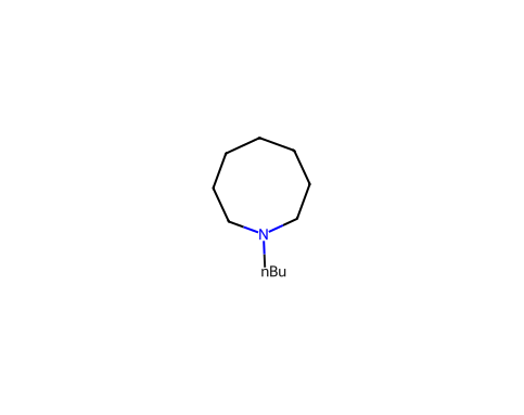 [CH2]CCCN1CCCCCCC1